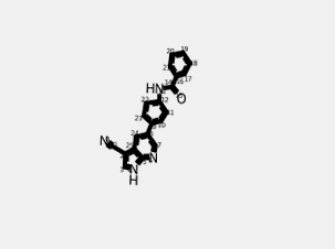 N#Cc1c[nH]c2ncc(-c3ccc(NC(=O)c4ccccc4)cc3)cc12